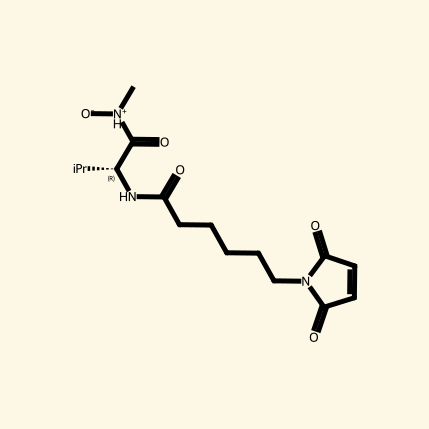 CC(C)[C@@H](NC(=O)CCCCCN1C(=O)C=CC1=O)C(=O)[NH+](C)[O-]